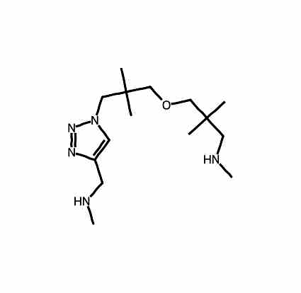 CNCc1cn(CC(C)(C)COCC(C)(C)CNC)nn1